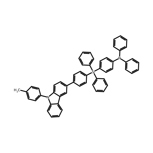 Cc1ccc(-n2c3ccccc3c3cc(-c4ccc([Si](c5ccccc5)(c5ccccc5)c5ccc(N(c6ccccc6)c6ccccc6)cc5)cc4)ccc32)cc1